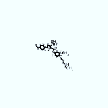 CCNCCCOc1ccc(NC(=O)c2sc(-c3ccc(CI)cc3)cc2NC)cc1OC